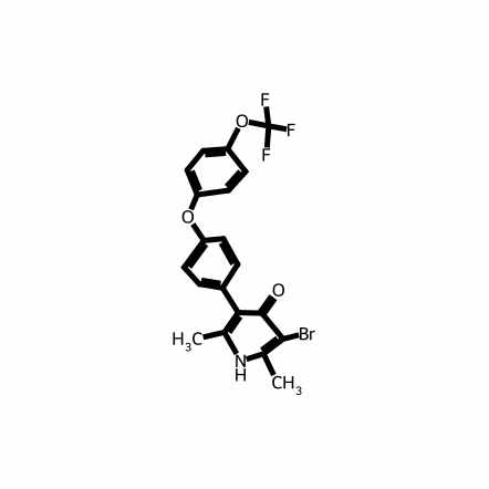 Cc1[nH]c(C)c(-c2ccc(Oc3ccc(OC(F)(F)F)cc3)cc2)c(=O)c1Br